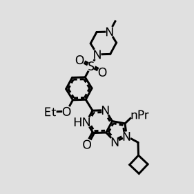 CCCc1c2nc(-c3cc(S(=O)(=O)N4CCN(C)CC4)ccc3OCC)[nH]c(=O)c2nn1CC1CCC1